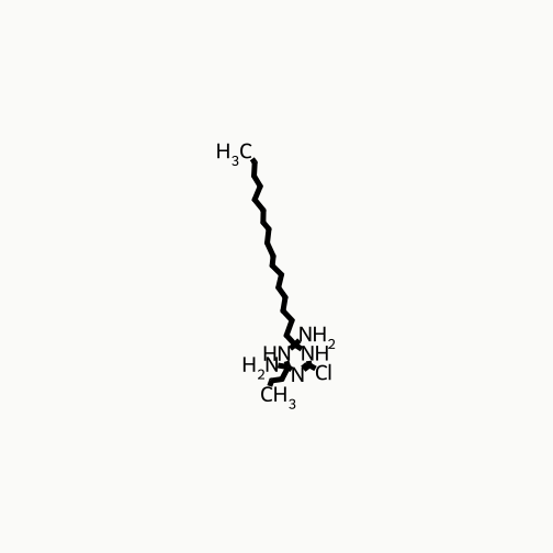 CCCCCCCCCCCCCCCCCC1(N)NC(Cl)=NC(N)(CCC)N1